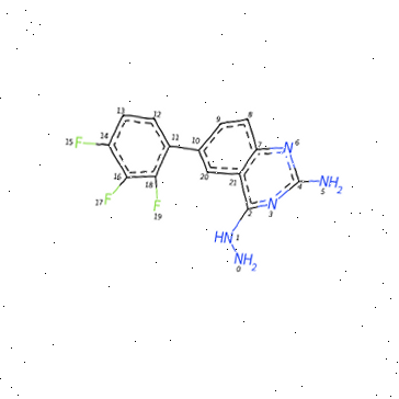 NNc1nc(N)nc2ccc(-c3ccc(F)c(F)c3F)cc12